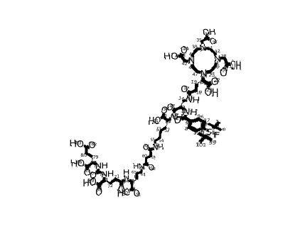 CC(C)(C)[Si](F)(c1ccc(C(=O)N[C@@H](CNC(=O)CC[C@@H](C(=O)O)N2CCN(CC(=O)O)CCN(CC(=O)O)CCN(CC(=O)O)CC2)C(=O)N[C@H](CCCCNC(=O)CCC(=O)NCCC[C@@H](NC(=O)CC[C@H](NC(=O)N[C@@H](CCC(=O)O)C(=O)O)C(=O)O)C(=O)O)C(=O)O)cc1)C(C)(C)C